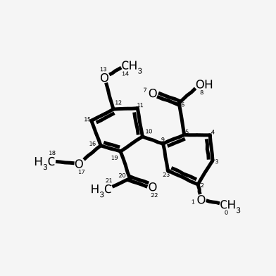 COc1ccc(C(=O)O)c(-c2cc(OC)cc(OC)c2C(C)=O)c1